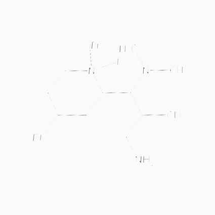 CCC1CC[N+](I)(C(C)C)C(C(C(C)CN)N(C)C)C1